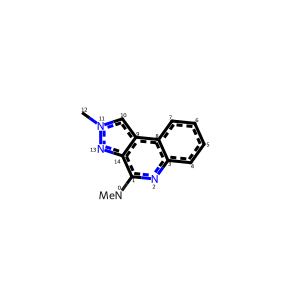 CNc1nc2ccccc2c2cn(C)nc12